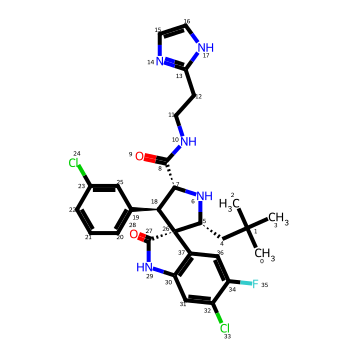 CC(C)(C)C[C@H]1N[C@@H](C(=O)NCCc2ncc[nH]2)[C@H](c2cccc(Cl)c2)[C@@]12C(=O)Nc1cc(Cl)c(F)cc12